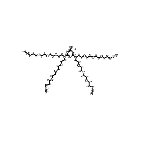 [N-]=[N+]=NCCOCCOCCOCCN(CCOCCOCCOCCN=[N+]=[N-])c1nc(N)nc(N(CCOCCOCCOCCN=[N+]=[N-])CCOCCOCCOCCN=[N+]=[N-])n1